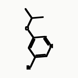 CC(C)Oc1[c]ncc(Br)c1